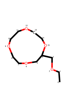 CCOCC1COCCOCCOCCO1